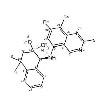 Cc1ncc2c(N[C@H]3c4ccccc4C(C)(C)C[C@]3(O)C(F)(F)F)cc(F)c(F)c2n1